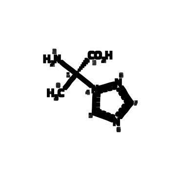 C[C@](N)(C(=O)O)n1cncn1